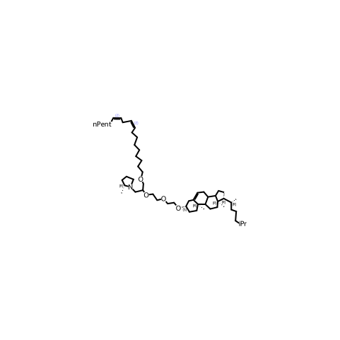 CCCCC/C=C\C/C=C\CCCCCCCCOCC(CN1CCC[C@H]1C)OCCOCCO[C@H]1CC[C@@]2(C)C(=CCC3C2CC[C@@]2(C)C3CC[C@@H]2[C@H](C)CCCC(C)C)C1